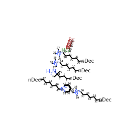 CCCCCCCCCCCCCC(C)(C)N.CCCCCCCCCCCCCCCC[N+](C)(C)C.CCCCCCCCCCCCCCCC[N+](C)(C)C.CCCCCCCCCCCCCCCC[N+](C)(C)C.CCCCCCCCCCCCCCCC[n+]1ccccc1.Cl.[Br-].[Br-].[Br-].[Br-]